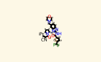 CC(C)C=C(C#N)C(=O)N1CCC[C@@H]1Cn1c(NC(=O)c2ccc(C(F)F)s2)nc2ccc(CN3CCOCC3)cc21